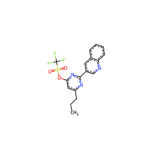 CCCc1cc(OS(=O)(=O)C(F)(F)F)nc(-c2cnc3ccccc3c2)n1